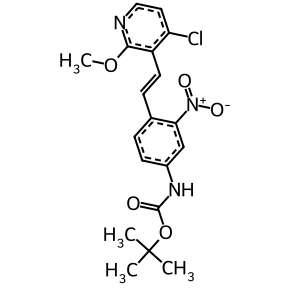 COc1nccc(Cl)c1C=Cc1ccc(NC(=O)OC(C)(C)C)cc1[N+](=O)[O-]